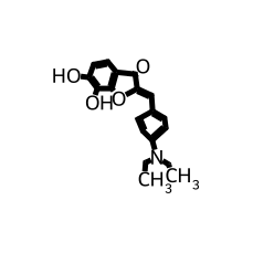 CCN(CC)c1ccc(/C=C2\Oc3c(ccc(O)c3O)C2=O)cc1